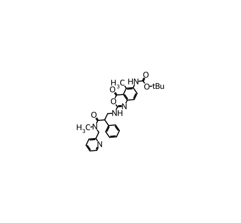 Cc1c(NC(=O)OC(C)(C)C)ccc2nc(NCC(C(=O)N(C)Cc3ccccn3)c3ccccc3)oc(=O)c12